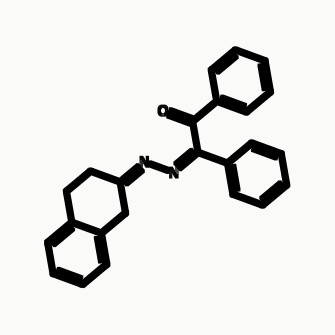 O=C(C(=NN=C1CCc2ccccc2C1)c1ccccc1)c1ccccc1